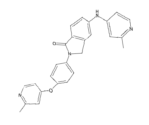 Cc1cc(Nc2ccc3c(c2)CN(c2ccc(Oc4ccnc(C)c4)cc2)C3=O)ccn1